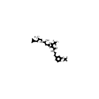 CC(CNC(O)Cc1nc(C(F)(F)F)c(C(=O)NCCc2cccc(OC(F)(F)F)c2)s1)CC1CC1